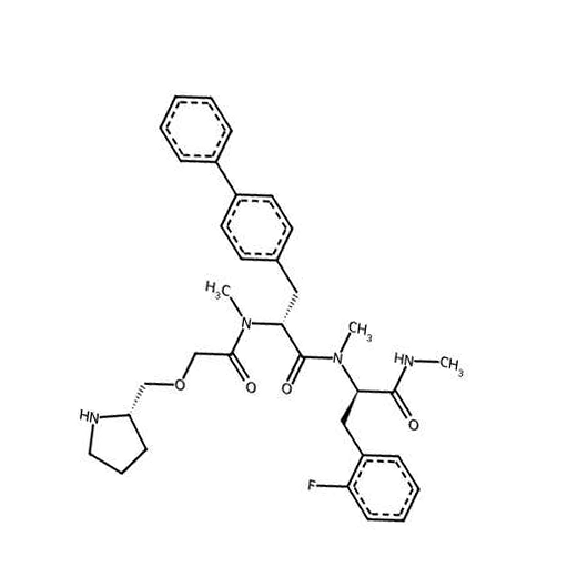 CNC(=O)[C@@H](Cc1ccccc1F)N(C)C(=O)[C@@H](Cc1ccc(-c2ccccc2)cc1)N(C)C(=O)COC[C@@H]1CCCN1